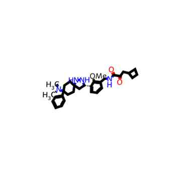 COc1c(CNC(=O)C(=O)CC2CCC2)cccc1[C@@H]1CC2(CCC(c3ccccc3)(N(C)C)CC2)NN1